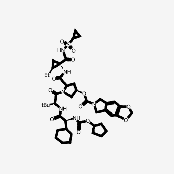 CC[C@H]1C[C@@]1(NC(=O)C1C[C@@H](OC(=O)N2Cc3cc4c(cc3C2)OCO4)CN1C(=O)[C@@H](NC(=O)[C@@H](NC(=O)OC1CCCC1)C1CCCCC1)C(C)(C)C)C(=O)NS(=O)(=O)C1CC1